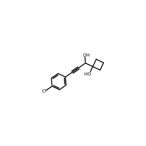 OC(C#Cc1ccc(Cl)cc1)C1(O)CCC1